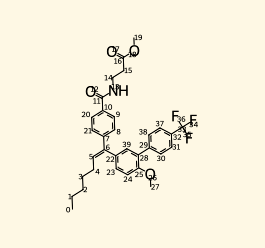 CCCCC/C=C(/c1ccc(C(=O)NCCC(=O)OC)cc1)c1ccc(OC)c(-c2ccc(C(F)(F)F)cc2)c1